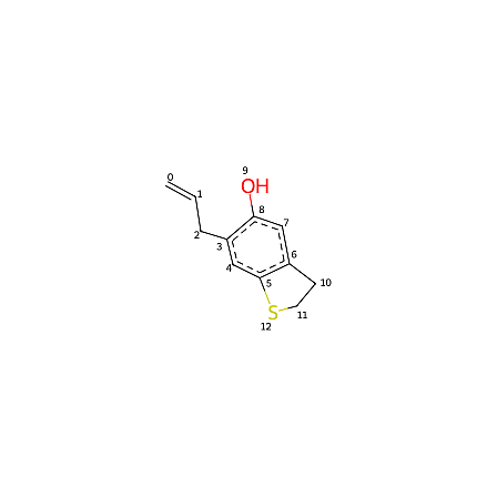 C=CCc1cc2c(cc1O)CCS2